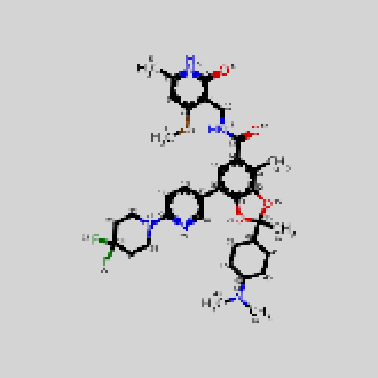 CSc1cc(C)[nH]c(=O)c1CNC(=O)c1cc(-c2ccc(N3CCC(F)(F)CC3)nc2)c2c(c1C)OC(C)(C1CCC(N(C)C)CC1)O2